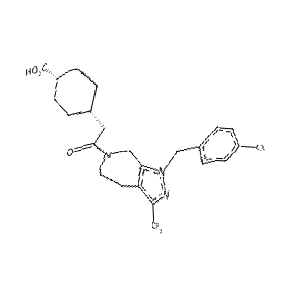 O=C(C[C@H]1CC[C@@H](C(=O)O)CC1)N1CCc2c(C(F)(F)F)nn(Cc3ccc(Cl)cc3)c2C1